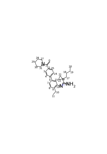 C=C(c1ccc(-c2ccc(CC)c(/N=C(/N)C3(CCCC)CC3)c2)cc1)N1CCCCC1